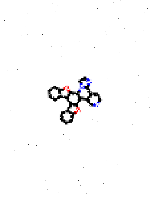 c1ccc2c(c1)oc1c2c2c3ccccc3oc2c2c1c1cnccc1c1nccn12